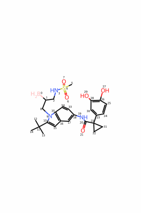 BC(CNS(C)(=O)=O)Cn1c(C(C)(C)C)cc2cc(NC(=O)C3(c4ccc(O)c(O)c4)CC3)ccc21